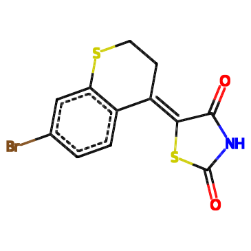 O=C1NC(=O)C(=C2CCSc3cc(Br)ccc32)S1